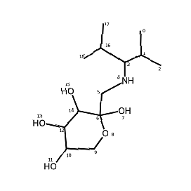 CC(C)C(NCC1(O)OCC(O)C(O)C1O)C(C)C